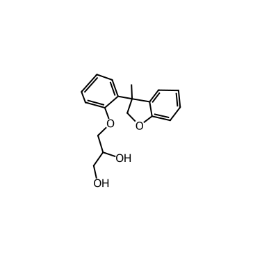 CC1(c2ccccc2OCC(O)CO)COc2ccccc21